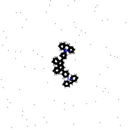 C1=CC2=C(CC1)CC1=C(CCC=C1)N2C1C=CC(c2cc3cc(-c4ccc(N5C6=C(C=CCC6)Cc6ccccc65)cc4)c4ccccc4c3c3ccccc23)=CC1